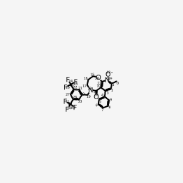 Cc1cc(-c2ccccc2)c2c([n+]1[O-])OCCCN(Cc1cc(C(F)(F)F)cc(C(F)(F)F)c1)C2=O